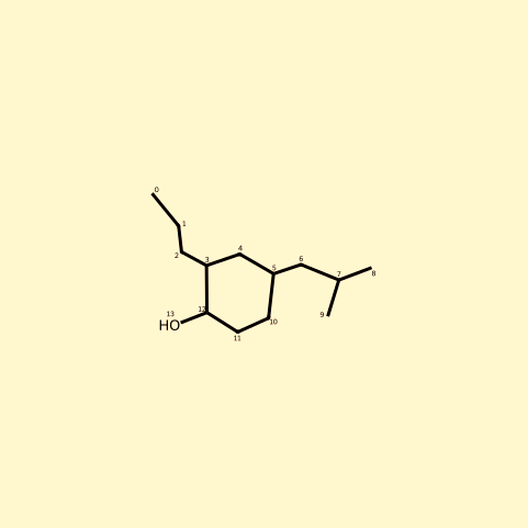 CCCC1CC(CC(C)C)CCC1O